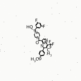 COc1ccc(-c2nc3c(C(=O)N4CCN([C@H](CO)c5cc(F)cc(F)c5)CC4)cnn3c(C(F)(F)F)c2C)cc1